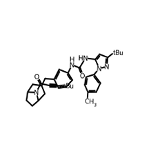 CCCCC#CC(=O)N1C2CCC1CC(Cc1cccc(NC(=O)Nc3cc(C(C)(C)C)nn3-c3ccc(C)cc3)c1)C2